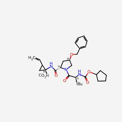 C=CC1C[C@]1(NC(=O)[C@@H]1C[C@@H](OCc2ccccc2)CN1C(=O)[C@@H](NC(=O)OC1CCCC1)C(C)(C)C)C(=O)O